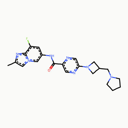 Cc1cn2cc(NC(=O)c3cnc(N4CC(CN5CCCC5)C4)cn3)cc(F)c2n1